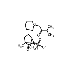 CC(C)C(=O)C[S+]1CCCCC1.CC12CCC(C(S(=O)(=O)[O-])C1=O)C2(C)C